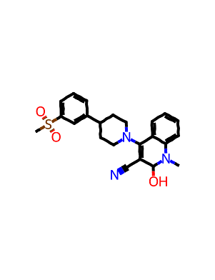 CN1c2ccccc2C(N2CCC(c3cccc(S(C)(=O)=O)c3)CC2)=C(C#N)C1O